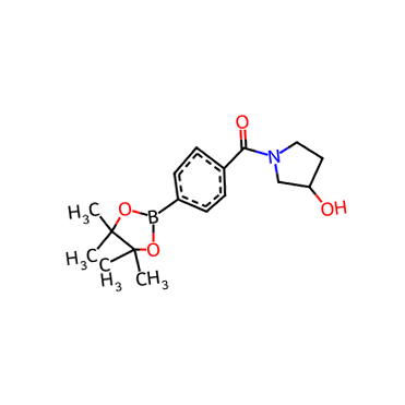 CC1(C)OB(c2ccc(C(=O)N3CCC(O)C3)cc2)OC1(C)C